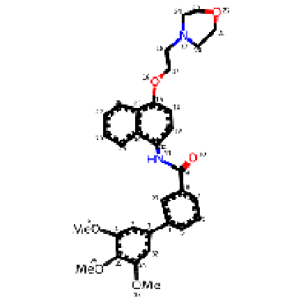 COc1cc(-c2cccc(C(=O)Nc3ccc(OCCN4CCOCC4)c4ccccc34)c2)cc(OC)c1OC